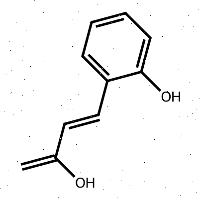 C=C(O)/C=C/c1ccccc1O